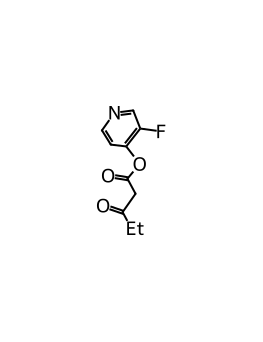 CCC(=O)CC(=O)Oc1ccncc1F